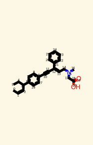 C/C=C\C(CC)c1ccc(C#C/C(=C/CN(C)CC(=O)O)c2ccccc2)cc1